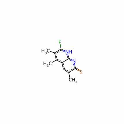 Cc1c2cc(C)c(=S)nc-2[nH]c(F)c1C